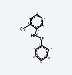 Clc1ccncc1NOc1ccccc1